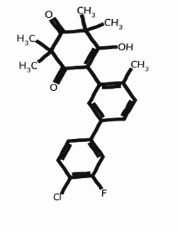 Cc1ccc(-c2ccc(Cl)c(F)c2)cc1C1=C(O)C(C)(C)C(=O)C(C)(C)C1=O